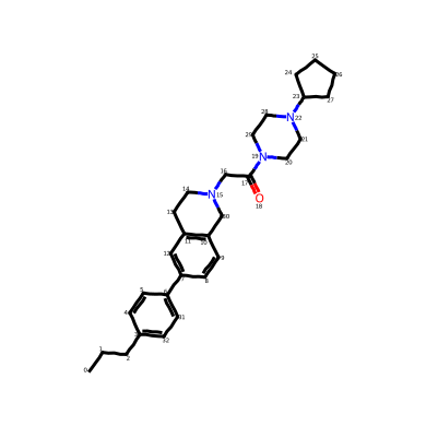 CCCc1ccc(-c2ccc3c(c2)CCN(CC(=O)N2CCN(C4CCCC4)CC2)C3)cc1